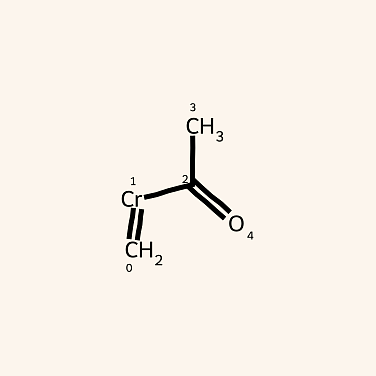 [CH2]=[Cr][C](C)=O